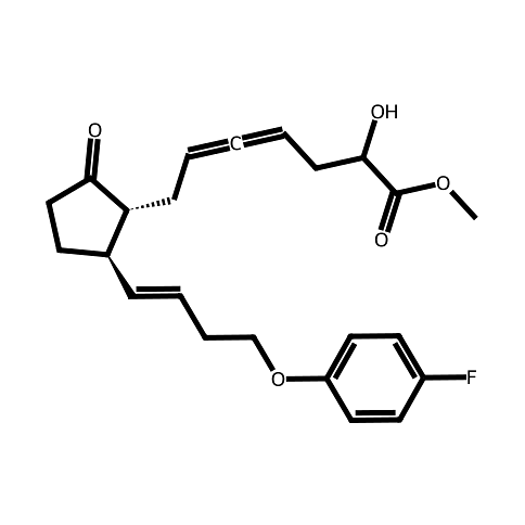 COC(=O)C(O)CC=C=CC[C@H]1C(=O)CC[C@@H]1/C=C/CCOc1ccc(F)cc1